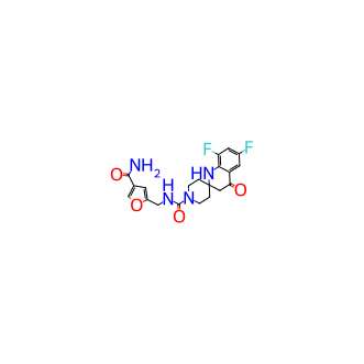 NC(=O)c1coc(CNC(=O)N2CCC3(CC2)CC(=O)c2cc(F)cc(F)c2N3)c1